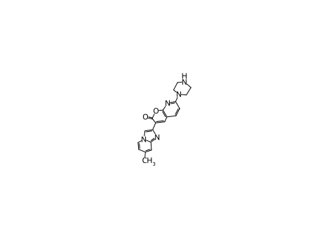 Cc1ccn2cc(-c3cc4ccc(N5CCNCC5)nc4oc3=O)nc2c1